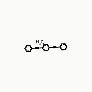 Cc1cc(C#Cc2ccccc2)ccc1C#Cc1ccccc1